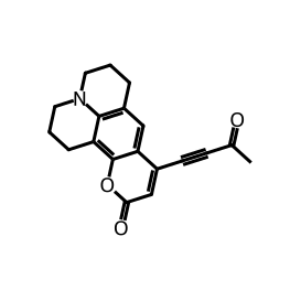 CC(=O)C#Cc1cc(=O)oc2c3c4c(cc12)CCCN4CCC3